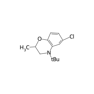 CC1CN(C(C)(C)C)c2cc(Cl)ccc2O1